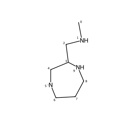 CNCC1C[N]CCCN1